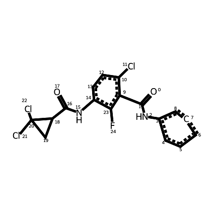 O=C(Nc1ccccc1)c1c(Cl)ccc(NC(=O)C2CC2(Cl)Cl)c1F